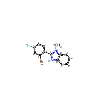 Cn1c(-c2ccc(F)cc2Br)nc2ccccc21